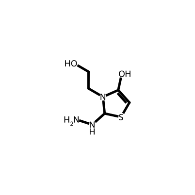 NNC1SC=C(O)N1CCO